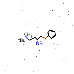 CN(CC[C@@H]([NH])CSc1ccccc1)C(C)(C)C